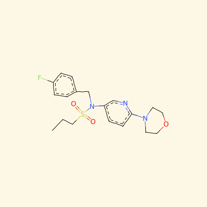 CCCS(=O)(=O)N(Cc1ccc(F)cc1)c1ccc(N2CCOCC2)nc1